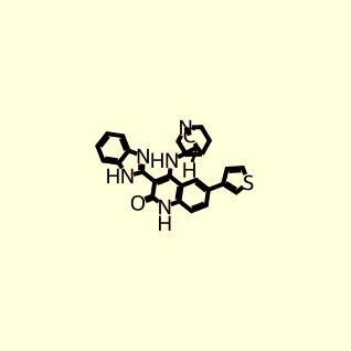 O=c1[nH]c2ccc(-c3ccsc3)cc2c(N[C@@H]2CN3CCC2CC3)c1-c1nc2ccccc2[nH]1